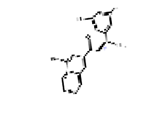 O=C(/C=C(\c1cc(Cl)cc(Cl)c1)C(F)(F)F)c1cc(Br)c2ccccc2c1